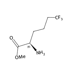 COC(=O)[C@H](N)CCCC(F)(F)F